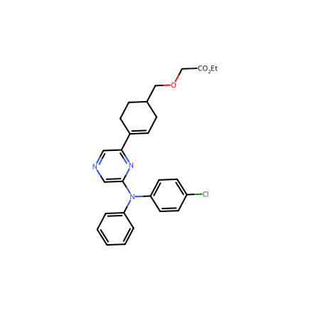 CCOC(=O)COCC1CC=C(c2cncc(N(c3ccccc3)c3ccc(Cl)cc3)n2)CC1